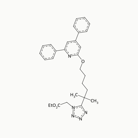 CCOC(=O)Cn1nnnc1C(C)(C)CCCCOc1cc(-c2ccccc2)cc(-c2ccccc2)n1